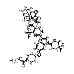 COC(=O)N1CCC(Oc2ccc3c(-c4ncc(C(=O)NC5(C(=O)O)C6CC7CC(C6)CC5C7)c(C(F)(F)F)n4)cn(C4CCC(F)(F)CC4)c3c2)CC1